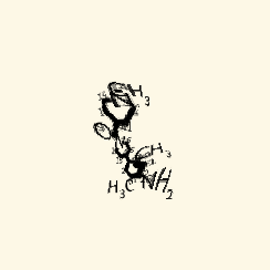 Cc1cc(C2CCN(C(=O)C3CCN(C)CC3)CC2)c(C)cc1N